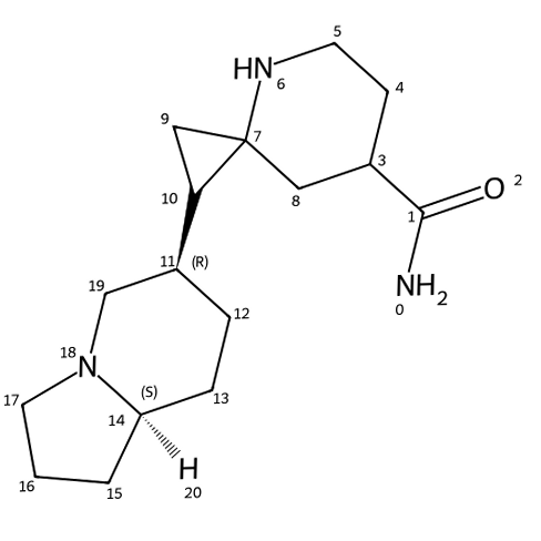 NC(=O)C1CCNC2(C1)CC2[C@H]1CC[C@H]2CCCN2C1